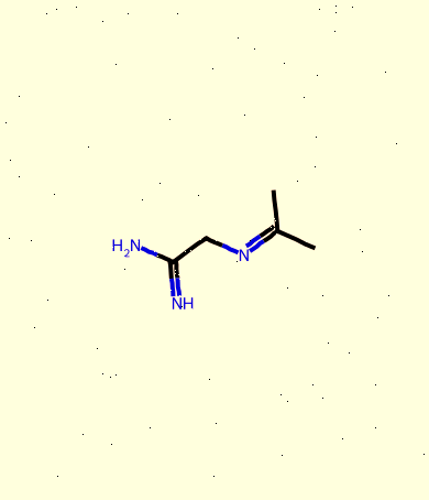 CC(C)=NCC(=N)N